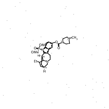 CCC1C[C@H]2C[C@H]3c4c(c5cc(OC(=O)N6CCN(C)CC6)ccc5n4P(=O)(OC)OC)CCN(C2)C13